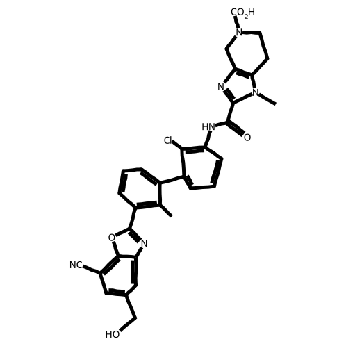 Cc1c(-c2nc3cc(CO)cc(C#N)c3o2)cccc1-c1cccc(NC(=O)c2nc3c(n2C)CCN(C(=O)O)C3)c1Cl